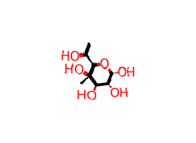 CC(O)[C@H]1O[C@H](O)[C@H](O)[C@@H](O)[C@]1(C)O